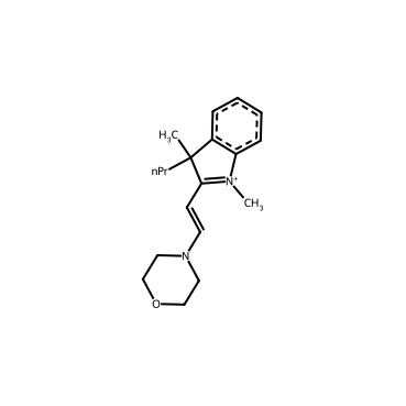 CCCC1(C)C(/C=C/N2CCOCC2)=[N+](C)c2ccccc21